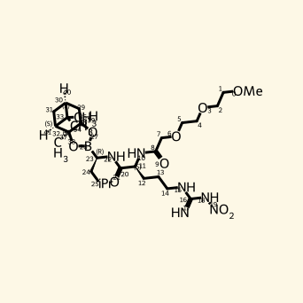 COCCOCCOCC(=O)N[C@@H](CCCNC(=N)N[N+](=O)[O-])C(=O)N[C@@H](CC(C)C)B1O[C@@H]2C[C@@H]3C[C@@H](C3(C)C)[C@]2(C)O1